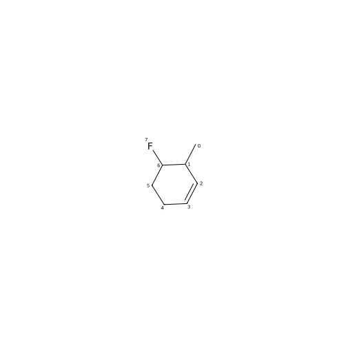 CC1C=CCCC1F